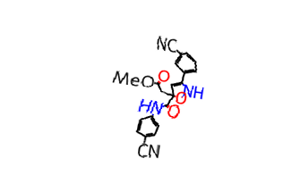 COC(=O)CC1(C(=O)Nc2ccc(C#N)cc2)C=C(c2cccc(C#N)c2)NO1